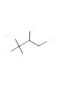 CC(C)(C(=O)O)C(O)CO